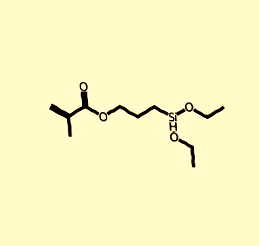 C=C(C)C(=O)OCCC[SiH](OCC)OCC